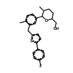 Cc1ccc(C2OC(CO)CCC2C)cc1Cc1ccc(-c2ccc(F)cc2)s1